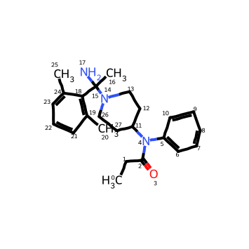 CCC(=O)N(c1ccccc1)C1CCN(C(C)(N)c2c(C)cccc2C)CC1